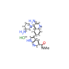 CNC(=O)c1cnc2[nH]cc(-c3ccc4ncc(N)c(N5CCCC(N)C5)c4c3)c2c1.Cl